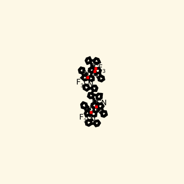 N#Cc1cc(-c2cc(C(F)(F)F)c(-n3c4ccccc4c4ccccc43)cc2-n2c3ccccc3c3ccccc32)c(-n2c3ccccc3c3ccccc32)cc1-n1c2ccccc2c2c(-c3cccc4c3c3ccccc3n4-c3cc(-n4c5ccccc5c5ccccc54)c(-c4cc(C(F)(F)F)c(-n5c6ccccc6c6ccccc65)cc4-n4c5ccccc5c5ccccc54)cc3C(F)(F)F)cccc21